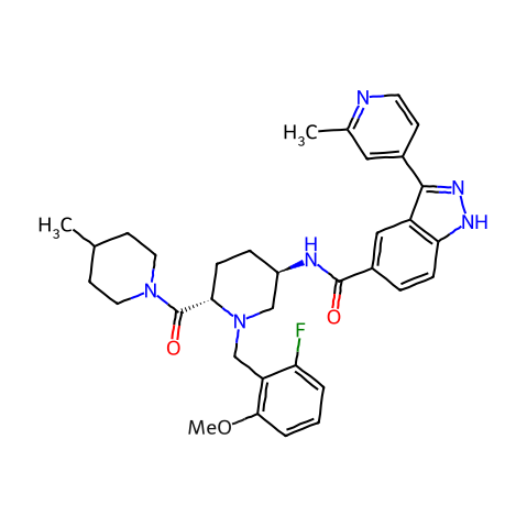 COc1cccc(F)c1CN1C[C@H](NC(=O)c2ccc3[nH]nc(-c4ccnc(C)c4)c3c2)CC[C@H]1C(=O)N1CCC(C)CC1